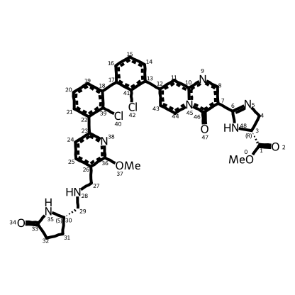 COC(=O)[C@H]1CN=C(c2cnc3cc(-c4cccc(-c5cccc(-c6ccc(CNC[C@@H]7CCC(=O)N7)c(OC)n6)c5Cl)c4Cl)ccn3c2=O)N1